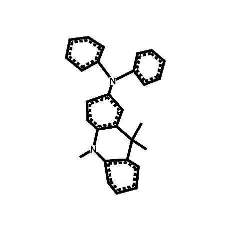 CN1c2ccccc2C(C)(C)c2cc(N(c3ccccc3)c3ccccc3)ccc21